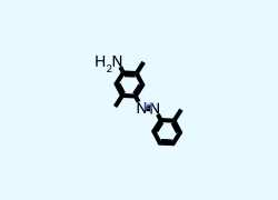 Cc1cc(/N=N/c2ccccc2C)c(C)cc1N